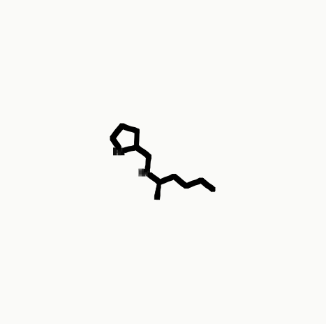 CCCC[C@@H](C)NCC1CCCN1